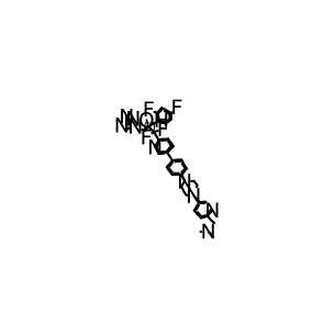 CN(C)Cc1ccc(N2CCN(c3ccc(-c4ccc(C(F)(F)[C@](O)(Cn5cnnn5)c5ccc(F)cc5F)nc4)cc3)CC2)cn1